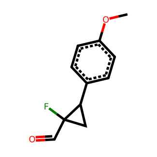 COc1ccc(C2CC2(F)C=O)cc1